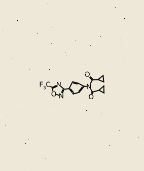 O=C(C1CC1)N(C(=O)C1CC1)c1ccc(-c2noc(C(F)(F)F)n2)cc1